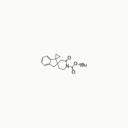 CC(C)(C)OC(=O)N1CCC2(CC1=O)Cc1ccccc1C21CC1